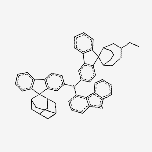 CCC1CCC2CCCC(C1)C21c2ccccc2-c2cc(N(c3ccc4c(c3)C3(c5ccccc5-4)C4CC5CC(C4)CC3C5)c3cccc4oc5ccccc5c34)ccc21